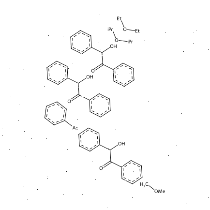 CC(=O)c1ccccc1.CC(C)OC(C)C.CCOCC.COC.O=C(c1ccccc1)C(O)c1ccccc1.O=C(c1ccccc1)C(O)c1ccccc1.O=C(c1ccccc1)C(O)c1ccccc1